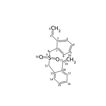 C=Cc1ccccc1CS(=O)(=O)Cc1ccccc1C=C